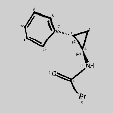 CC(C)C(=O)N[C@@H]1C[C@H]1c1ccccc1